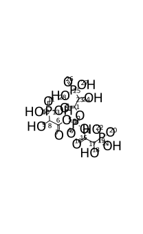 O=C(OP(=O)(OC(=O)C(O)P(=O)(O)O)OC(=O)C(O)P(=O)(O)O)C(O)P(=O)(O)O